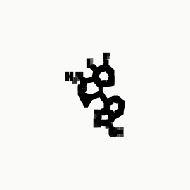 NC(=O)c1c([C@@H](c2cccc3c2nnn3O)C2CC2)ccc(F)c1F